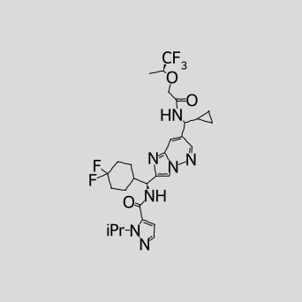 CC(C)n1nccc1C(=O)N[C@H](c1cn2ncc([C@H](NC(=O)CO[C@@H](C)C(F)(F)F)C3CC3)cc2n1)C1CCC(F)(F)CC1